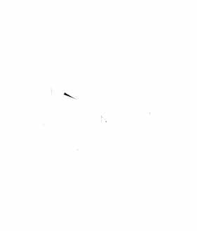 C=C1CC[C@@](O)(C(=O)O)N1